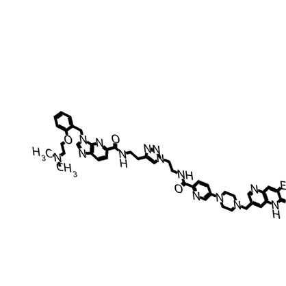 CCc1cc2ncc(CN3CCN(c4ccc(C(=O)NCCn5cc(CCNC(=O)c6ccc7ncn(Cc8ccccc8OCCN(C)C)c7n6)nn5)nc4)CC3)cc2[nH]c1=O